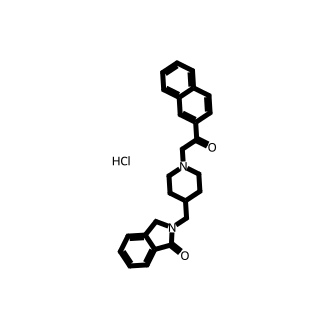 Cl.O=C(CN1CCC(CN2Cc3ccccc3C2=O)CC1)c1ccc2ccccc2c1